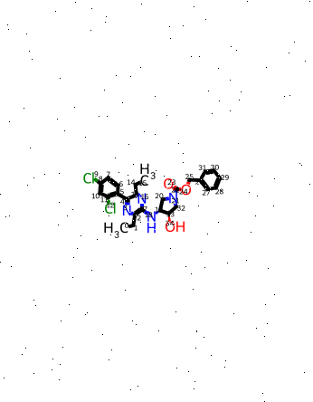 CCc1nc(-c2ccc(Cl)cc2Cl)c(CC)nc1N[C@H]1CN(C(=O)OCc2ccccc2)C[C@H]1O